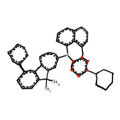 CC1(C)c2cc(N(c3ccc(C4CCCCC4)cc3)c3cccc4cccc(C5CCCCC5)c34)ccc2-c2c(-c3ccccc3)cccc21